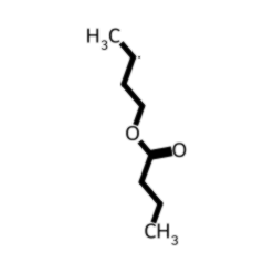 C[CH]CCOC(=O)CCC